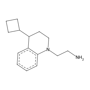 NCCN1CCC(C2CCC2)c2ccccc21